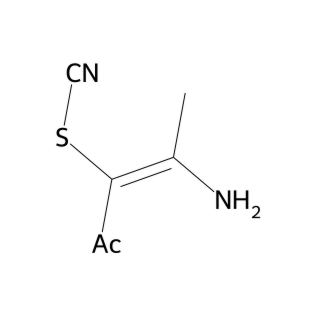 CC(=O)C(SC#N)=C(C)N